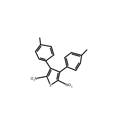 Cc1ccc(-c2c([N+](=O)[O-])sc([N+](=O)[O-])c2-c2ccc(C)cc2)cc1